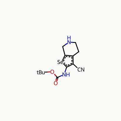 CC(C)(C)OC(=O)Nc1[se]c2c(c1C#N)CCNC2